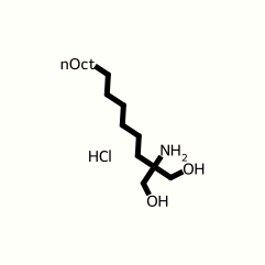 CCCCCCCCCCCCCCC(N)(CO)CO.Cl